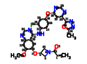 C=CC(=O)N1CC(Oc2cc3c(Nc4ccc(Oc5cc(-c6nnc(C)o6)ncn5)cc4F)ncnc3cc2OC)C1